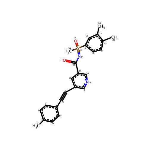 Cc1ccc(C#Cc2cncc(C(=O)N=S(C)(=O)c3ccc(C)c(C)c3)c2)cc1